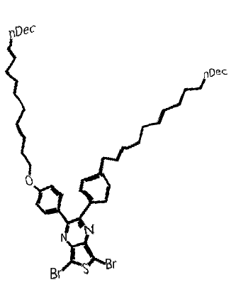 CCCCCCCCCCCCCCCCCCCCOc1ccc(-c2nc3c(Br)sc(Br)c3nc2-c2ccc(CCCCCCCCCCCCCCCCCCCC)cc2)cc1